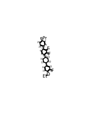 CCCc1ccc(-c2ccc(C3CCC(c4ccc(OCC)c(F)c4)CC3)c(F)c2F)cc1